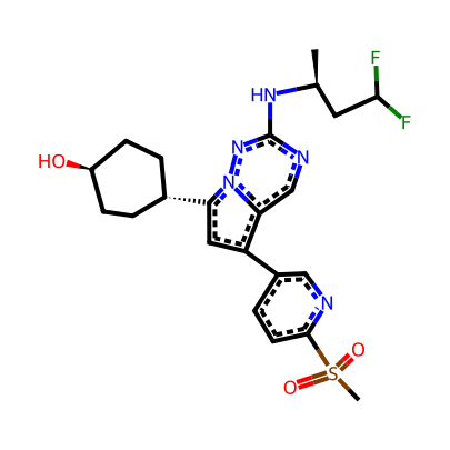 C[C@@H](CC(F)F)Nc1ncc2c(-c3ccc(S(C)(=O)=O)nc3)cc([C@H]3CC[C@H](O)CC3)n2n1